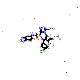 Cc1sc2c(c1C)C(c1ccc(Cl)cc1)=N[C@@H](CC(=O)Nc1ccc3nonc3c1)c1nnc(C)n1-2